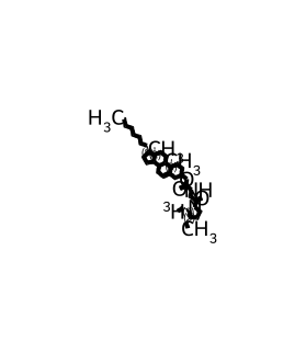 [3H]C[C@H]1[C@@H](CC)CCN1C(=O)CNC(=O)OC1CC[C@@]2(C)C(=CCC3C2CC[C@@]2(C)C3CC[C@@H]2CCCCCCCC)C1